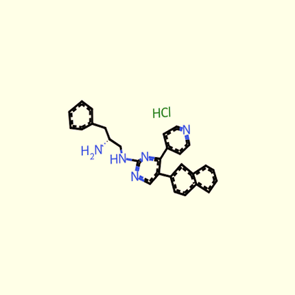 Cl.N[C@@H](CNc1ncc(-c2ccc3ccccc3c2)c(-c2ccncc2)n1)Cc1ccccc1